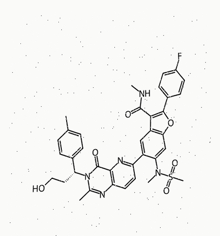 CNC(=O)c1c(-c2ccc(F)cc2)oc2cc(N(C)S(C)(=O)=O)c(-c3ccc4nc(C)n([C@H](CCO)c5ccc(C)cc5)c(=O)c4n3)cc12